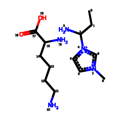 CCC(N)[n+]1ccn(C)c1.NCCCCC(N)C(=O)O